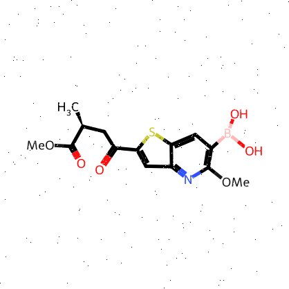 COC(=O)[C@@H](C)CC(=O)c1cc2nc(OC)c(B(O)O)cc2s1